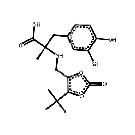 CC(C)(C)c1oc(=O)oc1CN[C@@](C)(Cc1ccc(O)c(O)c1)C(=O)O